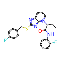 CCC(C(=O)Nc1ccccc1F)n1cccc2nc(SCc3ccc(F)cc3)nc1-2